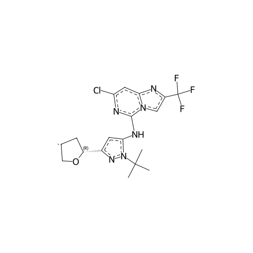 CC(C)(C)n1nc([C@H]2C[CH]CO2)cc1Nc1nc(Cl)cc2nc(C(F)(F)F)cn12